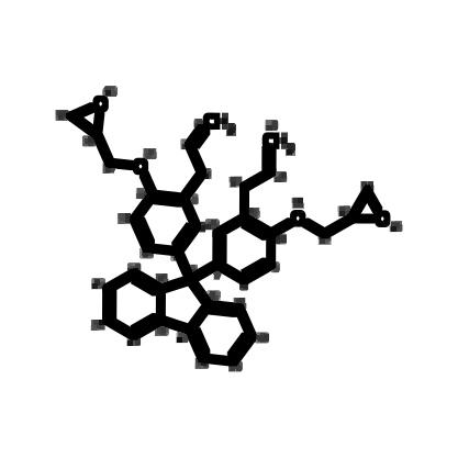 C=CCc1cc(C2(c3ccc(OCC4CO4)c(CC=C)c3)c3ccccc3-c3ccccc32)ccc1OCC1CO1